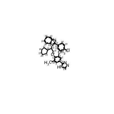 Cc1cc(-c2nnn[nH]2)cc(C)c1OCC(C1CCCCC1)n1c(-c2ccc(Cl)cc2)nc2ccccc21